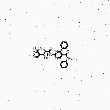 Cc1oncc1C(O)C(C#N)C(=O)Nc1ncc(C(=O)N(C)c2ccccc2)c(-c2ccccc2)n1